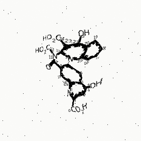 O=C(O)c1cc(O)c2ccc(C(=O)N(C(=O)O)c3nc4ccccc4c(O)c3C(=O)O)cc2n1